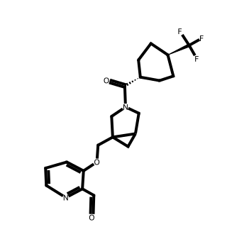 O=Cc1ncccc1OCC12CC1CN(C(=O)[C@H]1CC[C@H](C(F)(F)F)CC1)C2